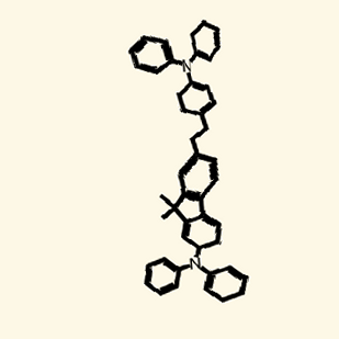 CC1(C)C2=CC(N(C3=CCCC=C3)c3ccccc3)CC=C2c2ccc(CCC3=CC=C(N(C4=CC=CCC4)c4ccccc4)CC3)cc21